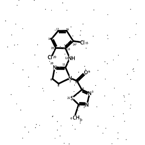 Cc1nnc(C(=O)N2CCN=C2Nc2c(Cl)cccc2Cl)s1